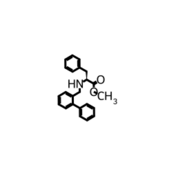 COC(=O)[C@H](Cc1ccccc1)NCc1ccccc1-c1ccccc1